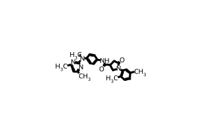 Cc1ccc(C)c(N2CC(C(=O)Nc3ccc(N(C)c4nc(C)cc(C)n4)cc3)CC2=O)c1